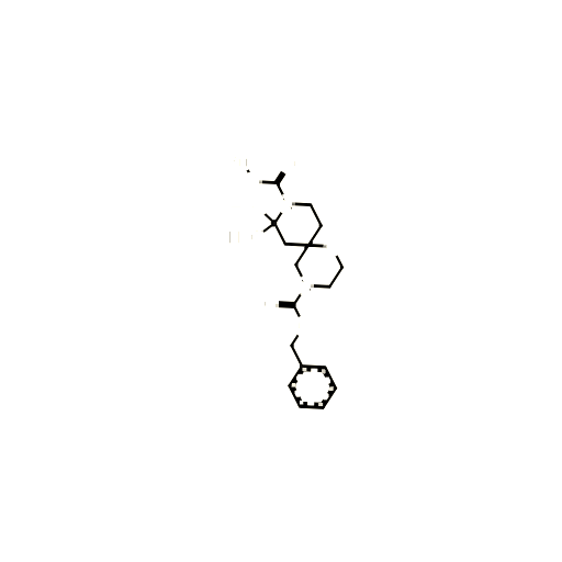 CC(C)(C)OC(=O)N1CCC2(CN(C(=O)OCc3ccccc3)CCO2)CC1(C)C